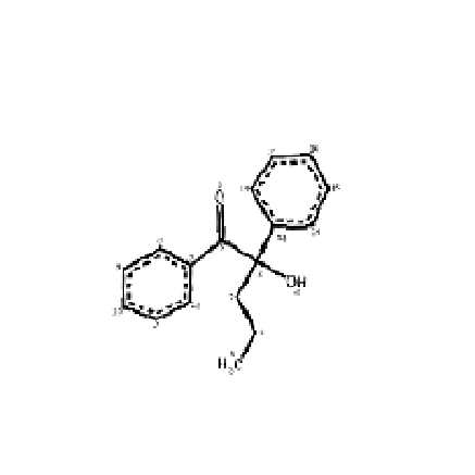 CCCC(O)(C(=O)c1ccccc1)c1ccccc1